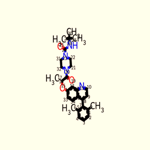 Cc1cccc(C)c1-c1ccnc2cc(O[C@H](C)C(=O)N3CCN(C(=O)NC(C)(C)C)CC3)ccc12